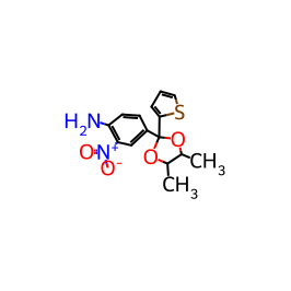 CC1OC(c2ccc(N)c([N+](=O)[O-])c2)(c2cccs2)OC1C